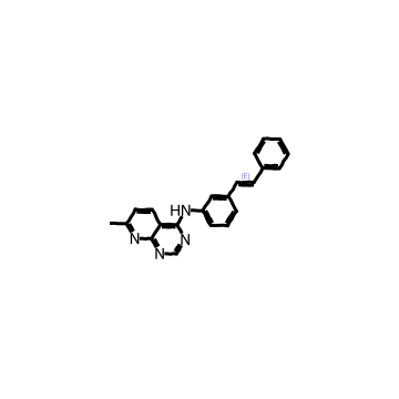 Cc1ccc2c(Nc3cccc(/C=C/c4ccccc4)c3)ncnc2n1